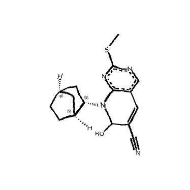 CSc1ncc2c(n1)N([C@H]1C[C@@H]3CC[C@H]1C3)C(O)C(C#N)=C2